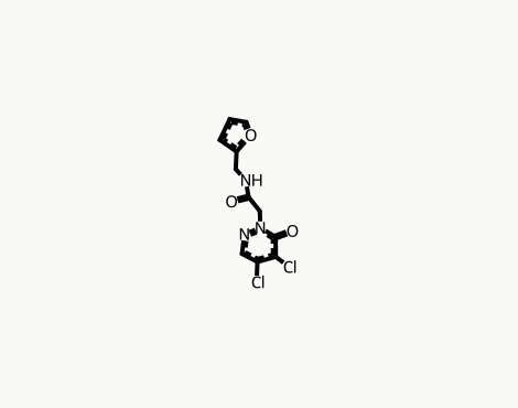 O=C(Cn1ncc(Cl)c(Cl)c1=O)NCc1ccco1